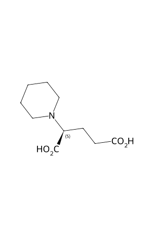 O=C(O)CC[C@@H](C(=O)O)N1CCCCC1